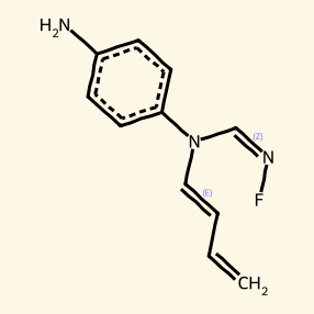 C=C/C=C/N(/C=N\F)c1ccc(N)cc1